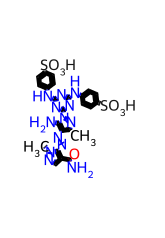 Cc1nn(-c2nc(Nc3ccc(S(=O)(=O)O)cc3)nc(Nc3ccc(S(=O)(=O)O)cc3)n2)c(N)c1/N=N/c1c(C(N)=O)cnn1C